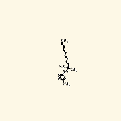 CCCCCCCCCC(C)(C)SSc1nnc(N)s1